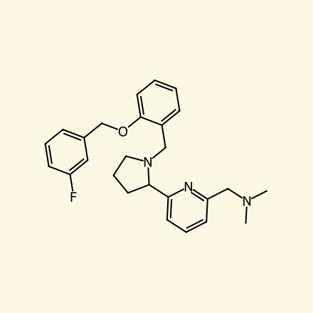 CN(C)Cc1cccc(C2CCCN2Cc2ccccc2OCc2cccc(F)c2)n1